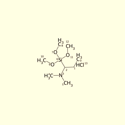 CCC(N(C)C)[Si](OC)(OC)OC.Cl